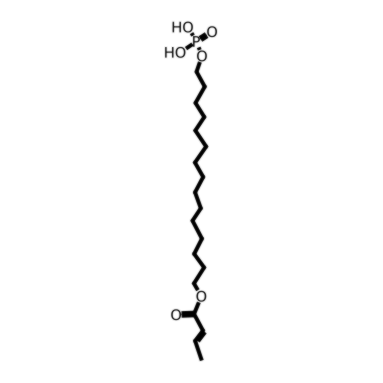 CC=CC(=O)OCCCCCCCCCCCCCCCOP(=O)(O)O